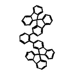 [c]1cccc(-c2ccc3c(c2)C2(c4ccccc4-c4ccccc42)c2ccccc2-3)c1-c1ccc2c(c1)C1(c3ccccc3-c3ccccc31)c1ccccc1-2